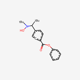 CC(C)(C)C(c1ccc(C(=O)Oc2ccccc2)cc1)N(O)C(C)(C)C